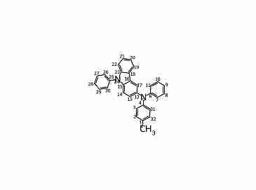 Cc1ccc(N(c2ccccc2)c2ccc3c(c2)c2ccccc2n3-c2ccccc2)cc1